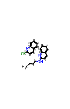 CCCCNc1ccc2ccccc2n1.Clc1ccc2ccccc2n1